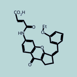 CCOc1cccc(/C=C2/CCc3c2oc2cc(NC(=O)/C=C/C(=O)O)ccc2c3=O)c1